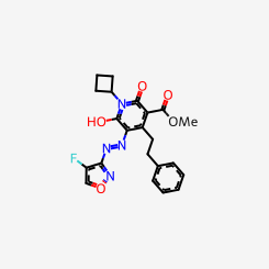 COC(=O)c1c(CCc2ccccc2)c(N=Nc2nocc2F)c(O)n(C2CCC2)c1=O